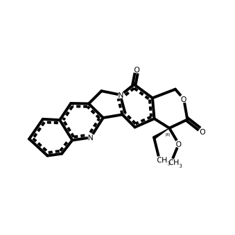 CC[C@]1(OC)C(=O)OCc2c1cc1n(c2=O)Cc2cc3ccccc3nc2-1